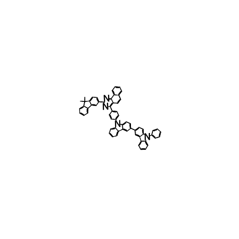 CC1(C)c2ccccc2-c2cc(-c3nc(-c4ccc(-n5c6ccccc6c6cc(-c7ccc8c(c7)c7ccccc7n8-c7ccccc7)ccc65)cc4)c4ccc5ccccc5c4n3)ccc21